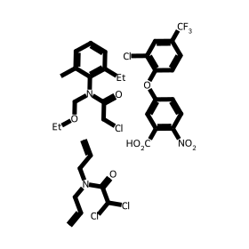 C=CCN(CC=C)C(=O)C(Cl)Cl.CCOCN(C(=O)CCl)c1c(C)cccc1CC.O=C(O)c1cc(Oc2ccc(C(F)(F)F)cc2Cl)ccc1[N+](=O)[O-]